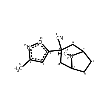 Cc1cc(C2(C#N)CC3CCC(C2)N3C)on1